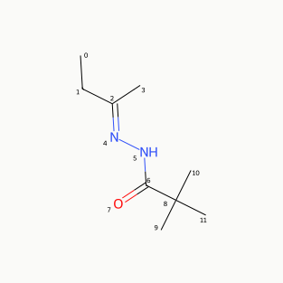 CC/C(C)=N/NC(=O)C(C)(C)C